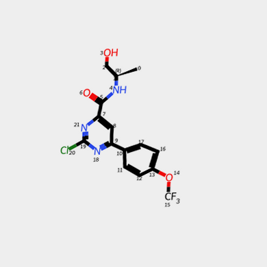 C[C@H](CO)NC(=O)c1cc(-c2ccc(OC(F)(F)F)cc2)nc(Cl)n1